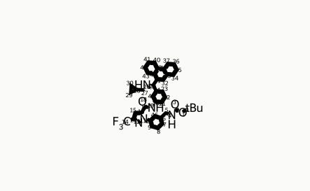 CC(C)(C)OC(=O)NCc1cccc(-n2nc(C(F)(F)F)cc2C(=O)Nc2cccc([C@H](NCC3CC3)c3cc4ccccc4c4ccccc34)c2)c1